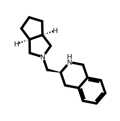 c1ccc2c(c1)CN[C@H](CN1C[C@H]3CCC[C@H]3C1)C2